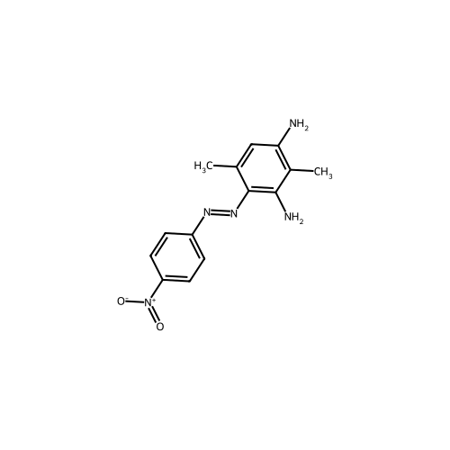 Cc1cc(N)c(C)c(N)c1N=Nc1ccc([N+](=O)[O-])cc1